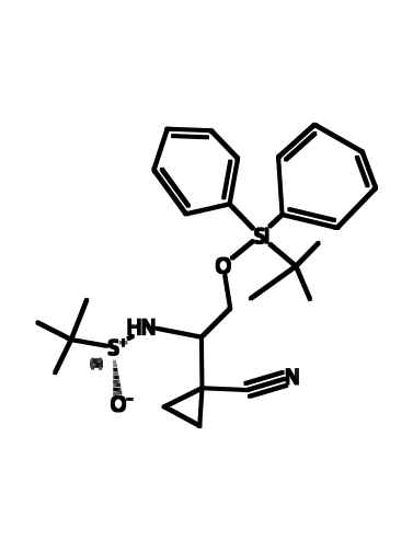 CC(C)(C)[S@@+]([O-])NC(CO[Si](c1ccccc1)(c1ccccc1)C(C)(C)C)C1(C#N)CC1